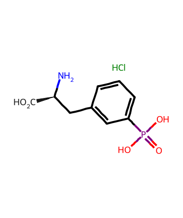 Cl.N[C@@H](Cc1cccc(P(=O)(O)O)c1)C(=O)O